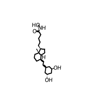 C[C@]12CCC/C(=C\C=C3C[C@@H](O)C[C@H](O)C3)[C@@H]1CC[C@@H]2CCCCC(=O)NO